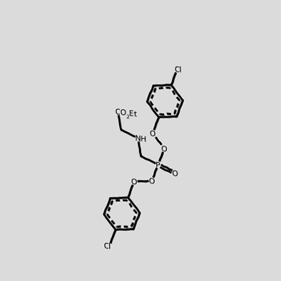 CCOC(=O)CNCP(=O)(OOc1ccc(Cl)cc1)OOc1ccc(Cl)cc1